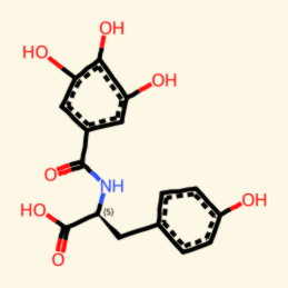 O=C(N[C@@H](Cc1ccc(O)cc1)C(=O)O)c1cc(O)c(O)c(O)c1